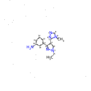 CCn1cc(-c2nncn2C)c(-c2cccc(N)c2)n1